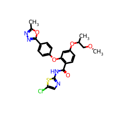 COCC(C)Oc1ccc(C(=O)Nc2ncc(Cl)s2)c(Oc2ccc(-c3nnc(C)o3)cc2)c1